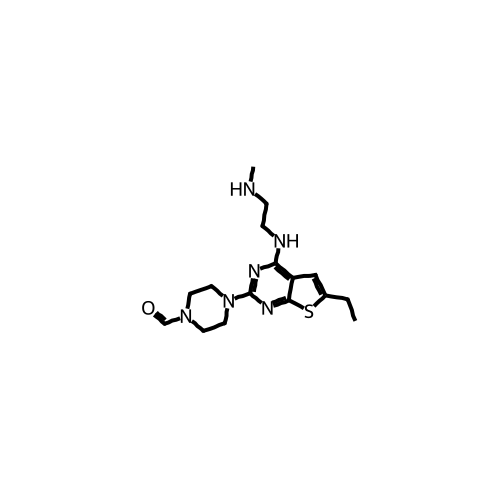 CCc1cc2c(NCCNC)nc(N3CCN(C=O)CC3)nc2s1